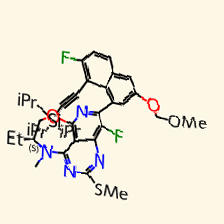 CC[C@H]1COc2nc(-c3cc(OCOC)cc4ccc(F)c(C#C[Si](C(C)C)(C(C)C)C(C)C)c34)c(F)c3nc(SC)nc(c23)N1C